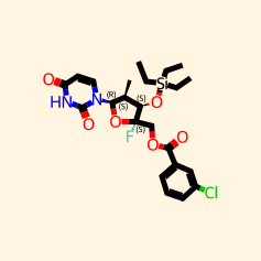 CC[Si](CC)(CC)O[C@H]1[C@H](C)[C@H](n2ccc(=O)[nH]c2=O)O[C@]1(F)COC(=O)c1cccc(Cl)c1